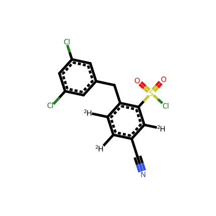 [2H]c1c([2H])c(Cc2cc(Cl)cc(Cl)c2)c(S(=O)(=O)Cl)c([2H])c1C#N